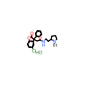 CCN1CCCC1CCNC(=O)CC1(c2ccccc2)C(=O)Oc2ccc(Cl)cc21.Cl